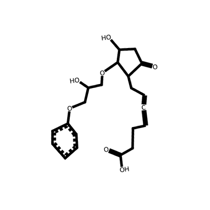 O=C(O)CCC=C=CCC1C(=O)CC(O)C1OCC(O)COc1ccccc1